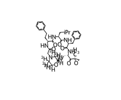 [2H]C1([2H])OC([2H])([2H])C([2H])([2H])N(CC(=O)N[C@@H](CCc2ccccc2)C(=O)N[C@@H](CC(C)C)C(=O)N[C@@H](Cc2ccccc2)C(=O)N[C@@H](CC(C)C)C(=O)[C@@]2(C)CO2)C1([2H])[2H]